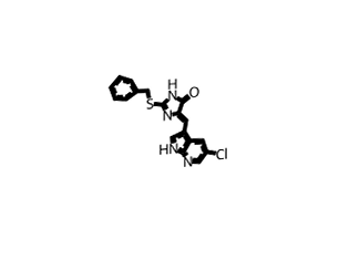 O=C1NC(SCc2ccccc2)=N/C1=C\c1c[nH]c2ncc(Cl)cc12